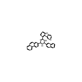 c1ccc2cc(C3NC(c4cccc5oc6ccncc6c45)=NC(c4ccc5c(ccc6ccccc65)c4)N3)ccc2c1